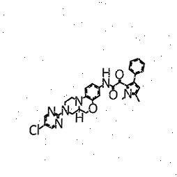 Cc1cc(-c2ccccc2)c(C(=O)C(=O)Nc2ccc3c(c2)OC[C@@H]2CN(c4ncc(Cl)cn4)CCN32)n1C